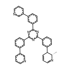 C[C@@H]1N=CC=CC1c1cccc(-c2nc(-c3cccc(-c4cccnc4)c3)nc(-c3cccc(-c4cccnc4)c3)n2)c1